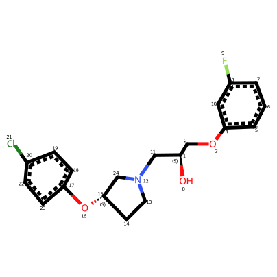 O[C@H](COc1[c]ccc(F)c1)CN1CC[C@H](Oc2ccc(Cl)cc2)C1